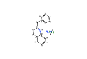 Cl.N.c1ccc(Cc2ccc3ccccc3n2)cc1